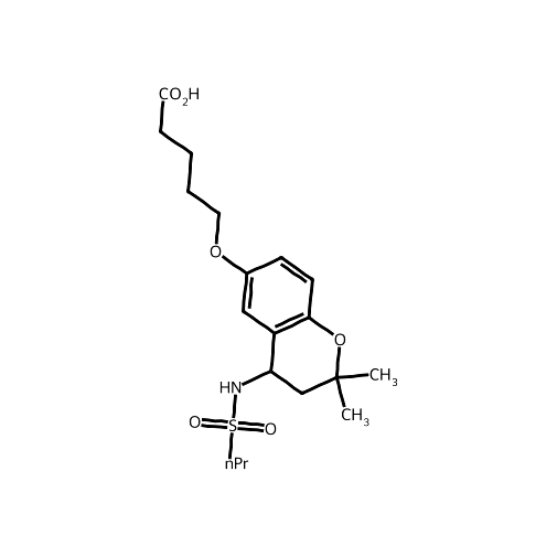 CCCS(=O)(=O)NC1CC(C)(C)Oc2ccc(OCCCCC(=O)O)cc21